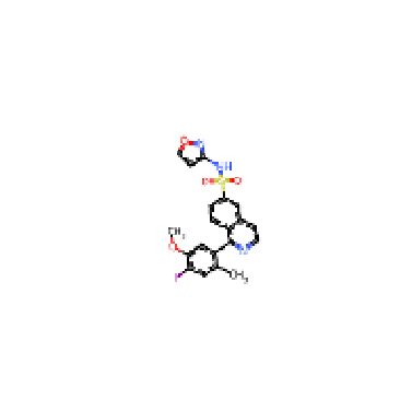 COc1cc(-c2nccc3cc(S(=O)(=O)Nc4ccon4)ccc23)c(C)cc1I